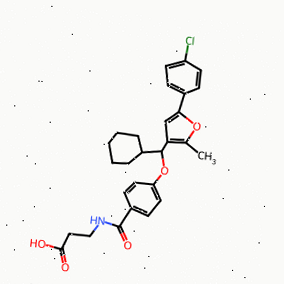 Cc1oc(-c2ccc(Cl)cc2)cc1C(Oc1ccc(C(=O)NCCC(=O)O)cc1)C1CCCCC1